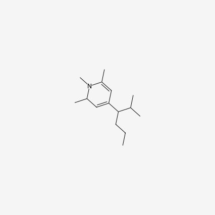 CCCC(C1=CC(C)N(C)C(C)=C1)C(C)C